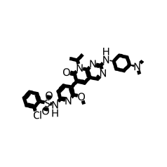 COc1nc(NS(=O)(=O)c2ccccc2Cl)ccc1-c1cc2cnc(N[C@H]3CC[C@H](N(C)C)CC3)nc2n(C(C)C)c1=O